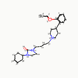 CC(C)(C)COc1ccccc1C1CCN(CCCCN2CCN(C3CCCCC3)C2=O)CC1